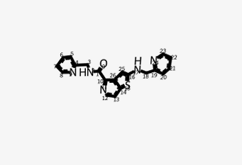 O=C(NCc1ccccn1)c1nccc2sc(NCc3ccccn3)cc12